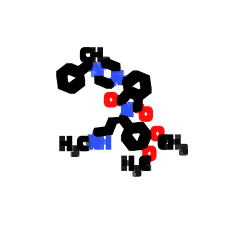 CNCCC[C@H](c1ccc(OC)c(OC)c1)N1C(=O)c2cccc(N3CCN(C(C)c4ccccc4)CC3)c2C1=O